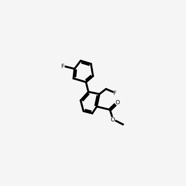 COC(=O)c1cccc(-c2cccc(F)c2)c1CF